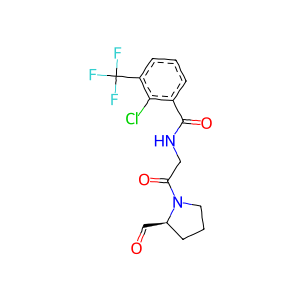 O=C[C@@H]1CCCN1C(=O)CNC(=O)c1cccc(C(F)(F)F)c1Cl